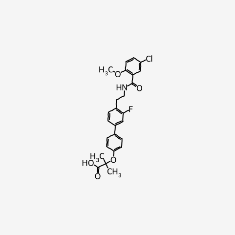 COc1ccc(Cl)cc1C(=O)NCCc1ccc(-c2ccc(OC(C)(C)C(=O)O)cc2)cc1F